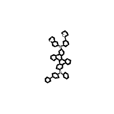 c1ccc(-c2ccc(N(c3ccccc3)c3ccc4c(c3)c3ccccc3c3c5ccc(N(c6cccc(-c7ccccc7)c6)c6ccc7ccccc7c6)cc5c5ccccc5c43)cc2)cc1